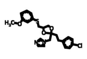 COc1cccc(SCC2COC(CCc3ccc(Cl)cc3)(Cn3ccnc3)O2)c1